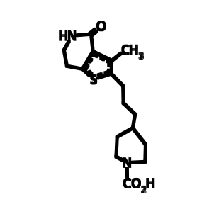 Cc1c(CCCC2CCN(C(=O)O)CC2)sc2c1C(=O)NCC2